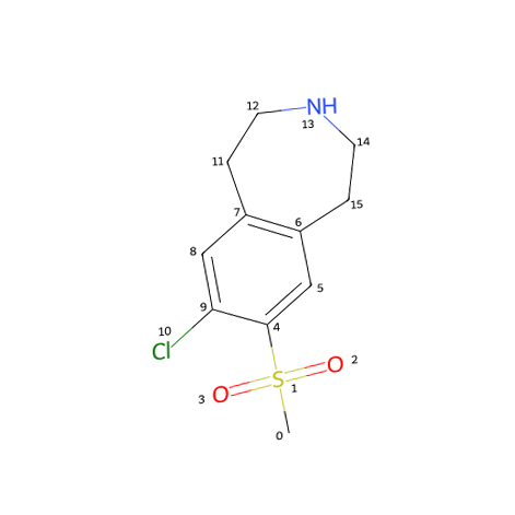 CS(=O)(=O)c1cc2c(cc1Cl)CCNCC2